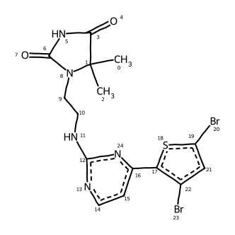 CC1(C)C(=O)NC(=O)N1CCNc1nccc(-c2sc(Br)cc2Br)n1